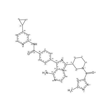 Cc1nnc(C(=O)N2CCCC(c3nc(-c4ccc(C(=O)Nc5cc(C6CC6)ccn5)cc4)c4c(N)nccn34)C2)o1